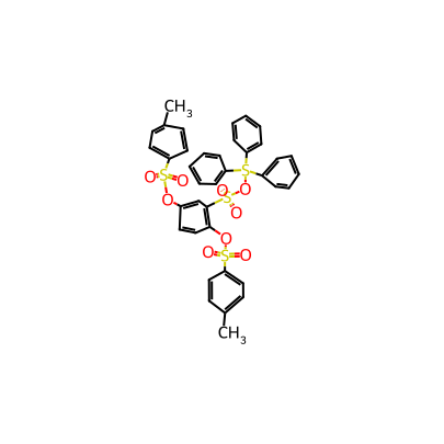 Cc1ccc(S(=O)(=O)Oc2ccc(OS(=O)(=O)c3ccc(C)cc3)c(S(=O)(=O)OS(c3ccccc3)(c3ccccc3)c3ccccc3)c2)cc1